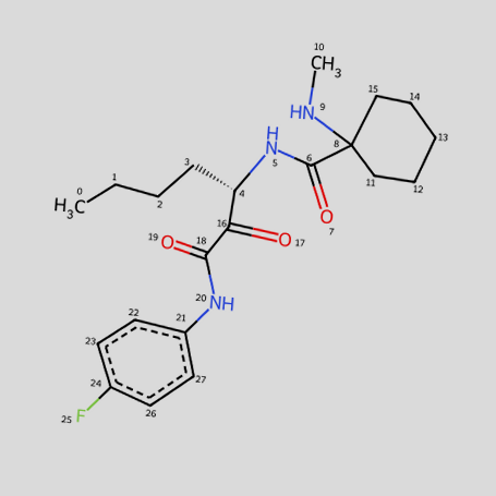 CCCC[C@H](NC(=O)C1(NC)CCCCC1)C(=O)C(=O)Nc1ccc(F)cc1